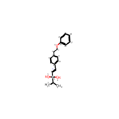 CC(C)[Si](O)(O)/C=C/c1ccc(CCOc2ccccc2)cc1